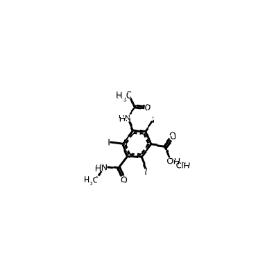 CNC(=O)c1c(I)c(NC(C)=O)c(I)c(C(=O)O)c1I.Cl